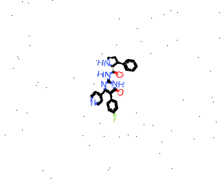 O=C(Nc1nc(-c2ccncc2)c(-c2ccc(F)cc2)c(=O)[nH]1)[C@@H]1NCCC1c1ccccc1